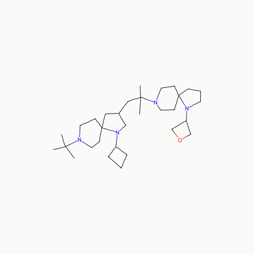 CC(C)(C)N1CCC2(CC1)CC(CC(C)(C)N1CCC3(CCCN3C3COC3)CC1)CN2C1CCC1